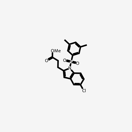 COC(=O)CCc1cc2cc(Cl)ccc2n1S(=O)(=O)c1cc(C)cc(C)c1